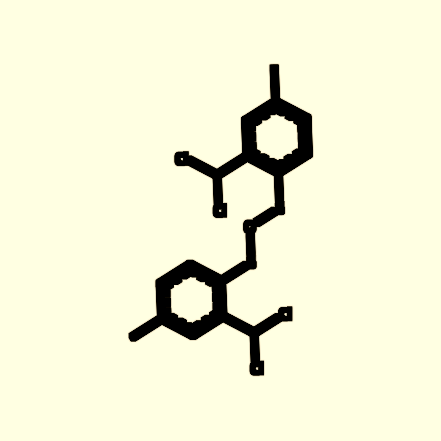 Cc1ccc(SOSc2ccc(C)cc2C(Cl)Cl)c(C(Cl)Cl)c1